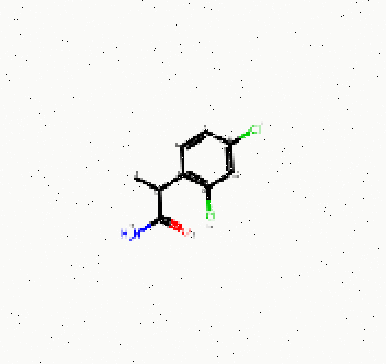 CC(C(N)=O)c1ccc(Cl)cc1Cl